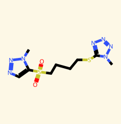 Cn1nncc1S(=O)(=O)CCCCSc1nnnn1C